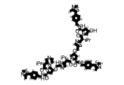 Cc1ncsc1-c1ccc(CNC(=O)[C@@H]2C[C@@H](OCc3ncc([C@H](C(=O)N4C[C@H](OCc5cnc([C@H](C(=O)N6C[C@H](O)C[C@H]6C(=O)NCc6ccc(-c7scnc7C)cc6)C(C)C)s5)C[C@H]4C(=O)NCc4ccc(-c5scnc5C)cc4)C(C)C)[nH]3)CN2C(=O)[C@@H](c2cnccn2)C(C)C)cc1